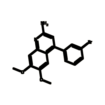 COc1cc2nc(N)cc(-c3cccc(Br)c3)c2cc1OC